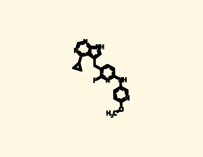 COc1ccc(Nc2ccc(Cc3c[nH]c4ncnc(C5CC5)c34)c(F)n2)cn1